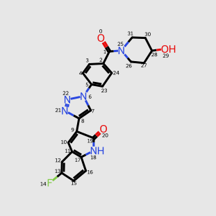 O=C(c1ccc(-n2cc(-c3cc4cc(F)ccc4[nH]c3=O)nn2)cc1)N1CCC(O)CC1